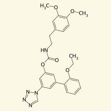 CCOc1ccccc1-c1cc(OC(=O)NCCc2ccc(OC)c(OC)c2)cc(-n2cnnn2)c1